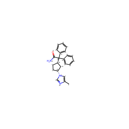 Cc1cn([C@@H]2CC[C@@H](C(C(N)=O)(c3ccccc3)c3ccccc3)C2)cn1